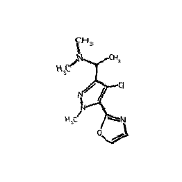 CC(c1nn(C)c(-c2ncco2)c1Cl)N(C)C